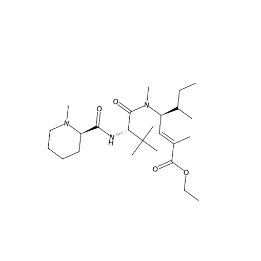 CCOC(=O)/C(C)=C/[C@H](C(C)CC)N(C)C(=O)[C@@H](NC(=O)[C@H]1CCCCN1C)C(C)(C)C